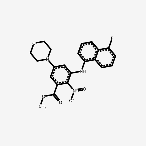 COC(=O)c1cc(N2CCOCC2)cc(Nc2cccc3c(F)cccc23)c1[N+](=O)[O-]